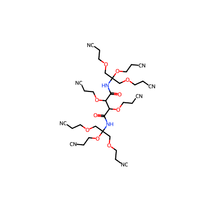 [C-]#[N+]CCOCC(COCCC#N)(NC(=O)C(OCCC#N)C(OCCC#N)C(=O)NC(COCCC#N)(COCCC#N)OCCC#N)OCC[N+]#[C-]